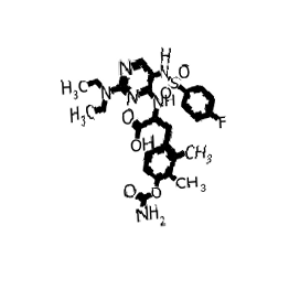 CCN(CC)c1ncc(NS(=O)(=O)c2ccc(F)cc2)c(NC(Cc2ccc(OC(N)=O)c(C)c2C)C(=O)O)n1